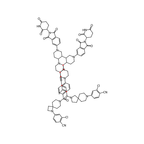 N#Cc1ccc(N2CCC3(CCN(C(=O)c4ccc(N5CCN(CC6CCN(c7ccc8c(c7)C(=O)N(C7CCC(=O)NC7=O)C8=O)CC6C6CN(c7ccc8c(c7)C(=O)N(C7CCC(=O)NC7=O)C8=O)CCC6N6CCC(C#Cc7ccc(C(=O)N8CCC9(CC8)CCN9c8ccc(C#N)c(Cl)c8)cc7)CC6)CC5)cc4F)C3)CC2)cc1Cl